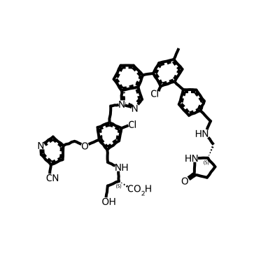 Cc1cc(-c2ccc(CNC[C@@H]3CCC(=O)N3)cc2)c(Cl)c(-c2cccc3c2cnn3Cc2cc(OCc3cncc(C#N)c3)c(CN[C@@H](CO)C(=O)O)cc2Cl)c1